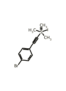 C[SH](C)(C)(I)C#Cc1ccc(Br)cc1